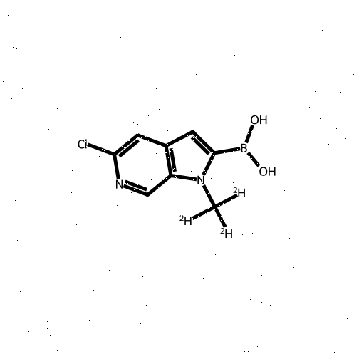 [2H]C([2H])([2H])n1c(B(O)O)cc2cc(Cl)ncc21